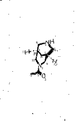 CC(=O)N1C[C@@H]2CNC[C@@H](C2)C1